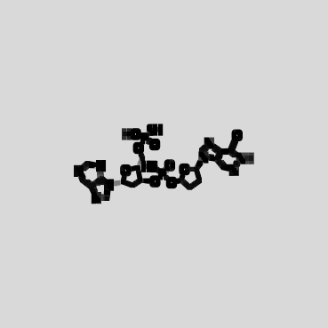 O=c1[nH]ncc2c1ncn2[C@H]1CC[C@@H](OP(=O)(S)O[C@H]2C[C@H](n3cnc4cncnc43)O[C@@H]2COP(=O)(O)S)O1